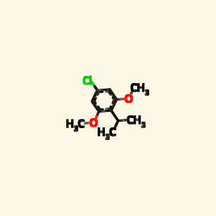 COc1cc(Cl)cc(OC)c1C(C)C